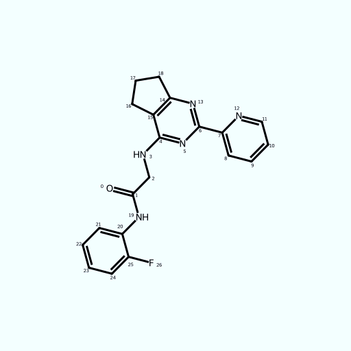 O=C(CNc1nc(-c2ccccn2)nc2c1CCC2)Nc1ccccc1F